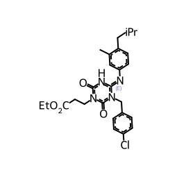 CCOC(=O)CCn1c(=O)[nH]/c(=N\c2ccc(CC(C)C)c(C)c2)n(Cc2ccc(Cl)cc2)c1=O